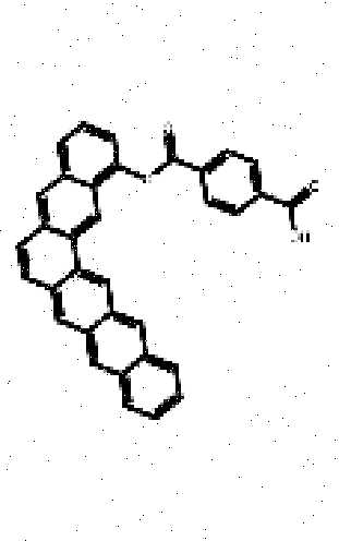 O=C(O)c1ccc(C(=O)Oc2cccc3cc4ccc5cc6cc7ccccc7cc6cc5c4cc23)cc1